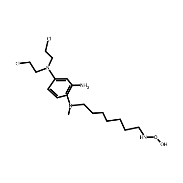 CN(CCCCCCCNOO)c1ccc(N(CCCl)CCCl)cc1N